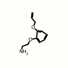 C=CCOc1ccccc1OCCN